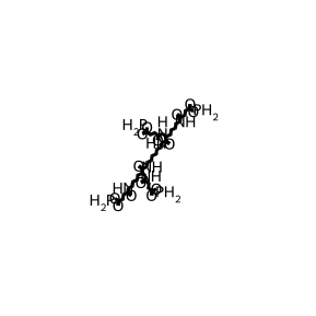 O=C(CCC(=O)OP)NCCCCC(NC(=O)CCC(=O)OP)C(=O)NCCCCCCNC(=O)C(CCCCNC(=O)CCC(=O)OP)NC(=O)CCC(=O)OP